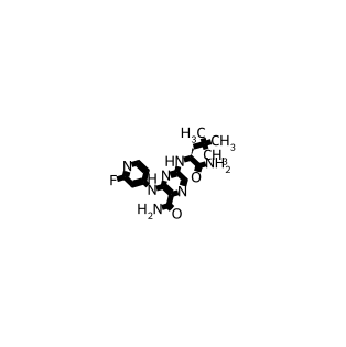 CC(C)(C)C[C@@H](Nc1cnc(C(N)=O)c(Nc2ccnc(F)c2)n1)C(N)=O